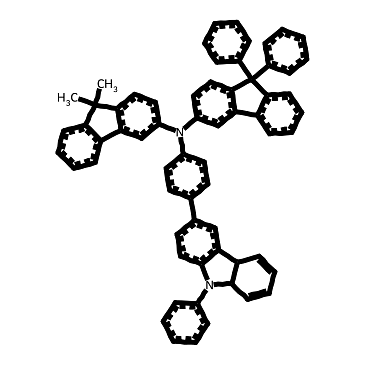 CC1(C)c2ccccc2-c2cc(N(c3ccc(-c4ccc5c(c4)C4C=CC=CC4N5c4ccccc4)cc3)c3ccc4c(c3)-c3ccccc3C4(c3ccccc3)c3ccccc3)ccc21